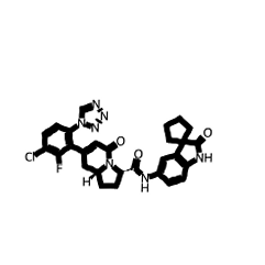 O=C(Nc1ccc2c(c1)C1(CCCC1)C(=O)N2)[C@@H]1CC[C@@H]2CC(c3c(-n4cnnn4)ccc(Cl)c3F)=CC(=O)N21